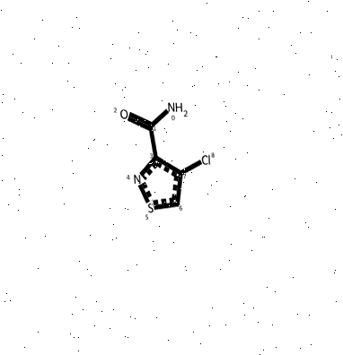 NC(=O)c1nscc1Cl